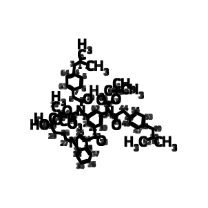 CC(C)Cc1ccc(CC(=O)N(C(=O)OC(C)(C)C)c2cc(C(=O)c3cn(CCCC(=O)O)c4ccccc34)cc(N(C(=O)Cc3ccc(CC(C)C)cc3)C(=O)OC(C)(C)C)c2)cc1